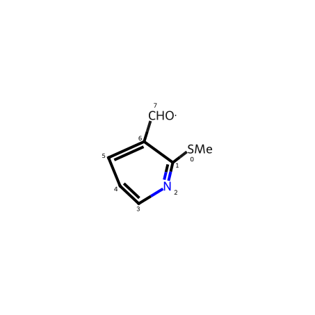 CSc1ncccc1[C]=O